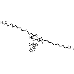 CCCCCCCCCCCCOCCCCCCCCCCCC.CCO.O=S(=O)([O-])[O-].[Na+].[Na+]